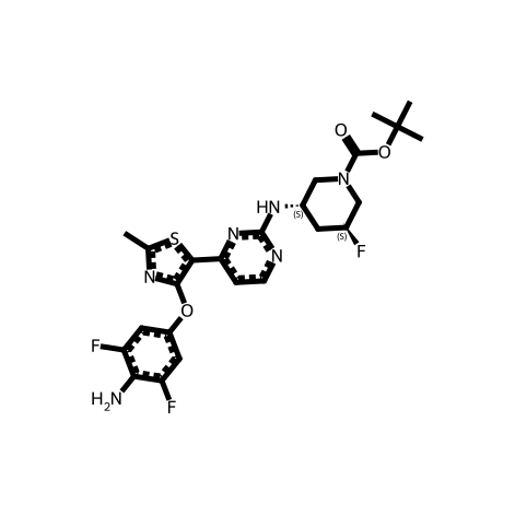 Cc1nc(Oc2cc(F)c(N)c(F)c2)c(-c2ccnc(N[C@H]3C[C@H](F)CN(C(=O)OC(C)(C)C)C3)n2)s1